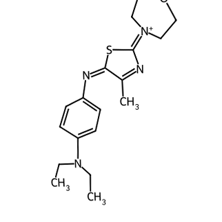 CCN(CC)c1ccc(/N=C2/SC(=[N+]3CCOCC3)N=C2C)cc1